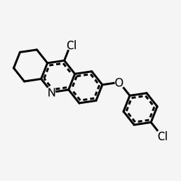 Clc1ccc(Oc2ccc3nc4c(c(Cl)c3c2)CCCC4)cc1